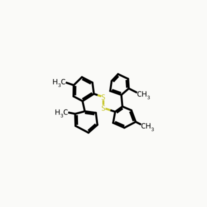 Cc1ccc(SSc2ccc(C)cc2-c2ccccc2C)c(-c2ccccc2C)c1